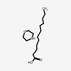 C1COCCN1.CCCCCCCCCCCC(=O)O